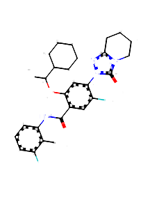 Cc1c(F)cccc1NC(=O)c1cc(F)c(-n2nc3n(c2=O)CCCC3)cc1OC(C)C1CCCCC1